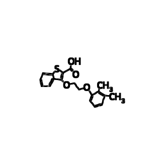 Cc1cccc(OCCOc2c(C(=O)O)sc3ccccc23)c1C